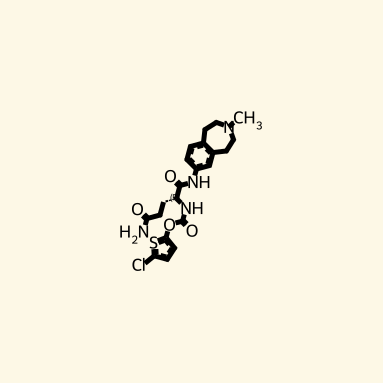 CN1CCc2ccc(NC(=O)[C@@H](CCC(N)=O)NC(=O)Oc3ccc(Cl)s3)cc2CC1